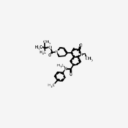 CCn1c(=O)cc(C2=CCN(C(=O)OC(C)(C)C)CC2)c2cc(C(=O)N(C)c3ccc(C)cc3)ccc21